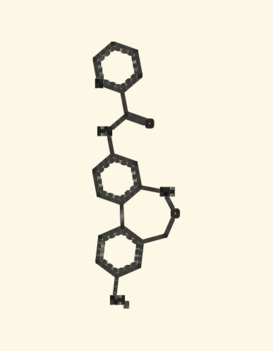 Nc1ccc2c(c1)CONc1cc(NC(=O)c3ccccn3)ccc1-2